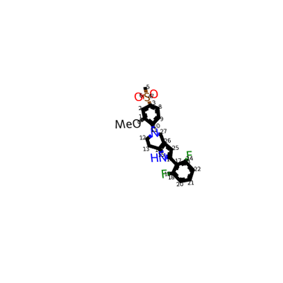 COc1cc(S(C)(=O)=O)ccc1N1CCc2[nH]c(-c3c(F)cccc3F)cc2C1